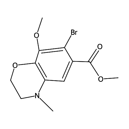 COC(=O)c1cc2c(c(OC)c1Br)OCCN2C